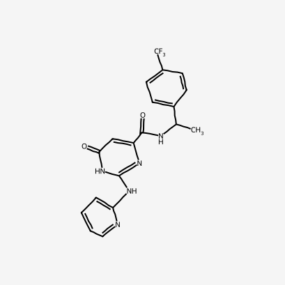 CC(NC(=O)c1cc(=O)[nH]c(Nc2ccccn2)n1)c1ccc(C(F)(F)F)cc1